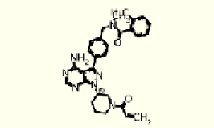 C=CC(=O)N1CCC[C@@H](n2nc(-c3ccc(CN(C)C(=O)c4ccccc4C)cc3)c3c(N)ncnc32)C1